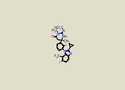 CN1C(=O)C[C@@](C)(c2cccc(-n3c(C4CC4)nc4ccc(F)c(C(F)(F)F)c43)c2F)N/C1=N/C(=O)O